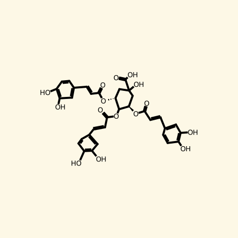 O=C(/C=C/c1ccc(O)c(O)c1)OC1[C@H](OC(=O)/C=C/c2ccc(O)c(O)c2)CC(O)(C(=O)O)C[C@H]1OC(=O)/C=C/c1ccc(O)c(O)c1